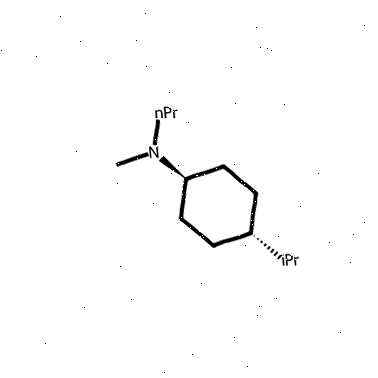 CCCN(C)[C@H]1CC[C@H](C(C)C)CC1